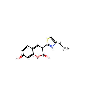 CCOC(=O)Cc1csc(C2C=C3C=CC(=O)C=C3OC2=O)n1